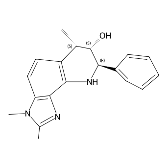 Cc1nc2c3c(ccc2n1C)[C@H](C)[C@H](O)[C@@H](c1ccccc1)N3